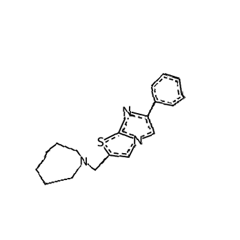 c1ccc(-c2cn3cc(CN4CCCCCC4)sc3n2)cc1